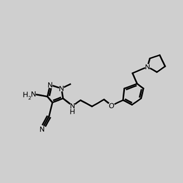 Cn1nc(N)c(C#N)c1NCCCOc1cccc(CN2CCCC2)c1